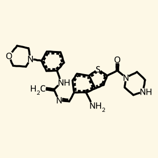 C=C(/N=C\c1ccc2sc(C(=O)N3CCNCC3)cc2c1N)Nc1cccc(N2CCOCC2)c1